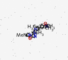 CNc1ccn(-c2ccnc3c2cc(CN2CC[C@H](c4ccc(C(=O)N(C)C)cc4)C[C@H]2C)n3C)c(=O)c1